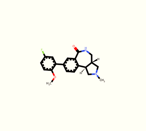 COc1ccc(F)cc1-c1ccc2c(c1)C(=O)NC[C@@H]1CN(C)C[C@@H]21